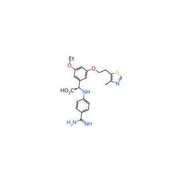 CCOc1cc(OCCc2scnc2C)cc([C@@H](Nc2ccc(C(=N)N)cc2)C(=O)O)c1